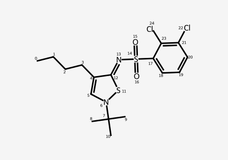 CCCCc1cn(C(C)(C)C)sc1=NS(=O)(=O)c1cccc(Cl)c1Cl